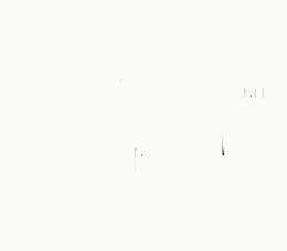 C[C@@H]1CNCCc2ccc(NCCc3ccccc3)cc21.Cl